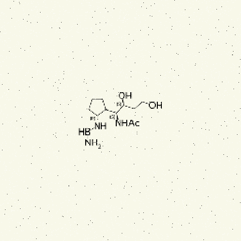 CC(=O)N[C@@H](C1CCC[C@H]1NBN)[C@@H](O)CCO